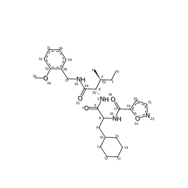 CC[C@H](C)[C@H](NC(=O)C(CC1CCCCC1)NC(=O)c1ccno1)C(=O)NCc1ccccc1OC